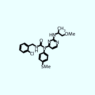 COCC(C)Nc1nccc(N(C(=O)NCc2ccccc2Cl)c2ccc(SC)cc2)n1